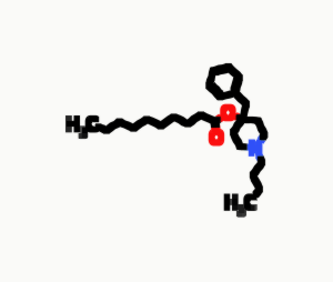 CCCCCCCCCC(=O)OC1(Cc2ccccc2)CCN(CCCC)CC1